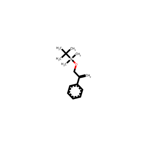 C=C(CO[Si](C)(C)C(C)(C)C)c1ccccc1